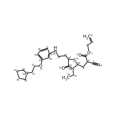 C=CCOC(=O)C(C#N)CC1SC(CCNc2cccc(OCCN3CCCC3)c2)C(=O)N1CC